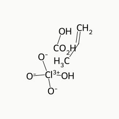 C=CC.O=C(O)O.[O-][Cl+3]([O-])([O-])O